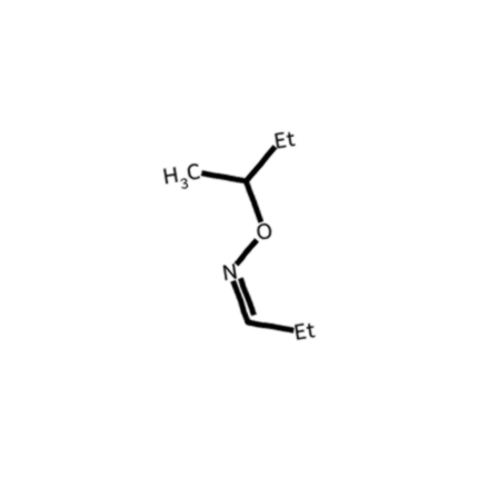 [CH2]C/C=N\OC(C)CC